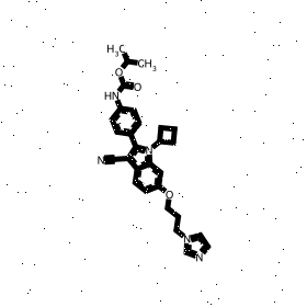 CC(C)OC(=O)Nc1ccc(-c2c(C#N)c3ccc(OCCCn4ccnc4)cc3n2C2CCC2)cc1